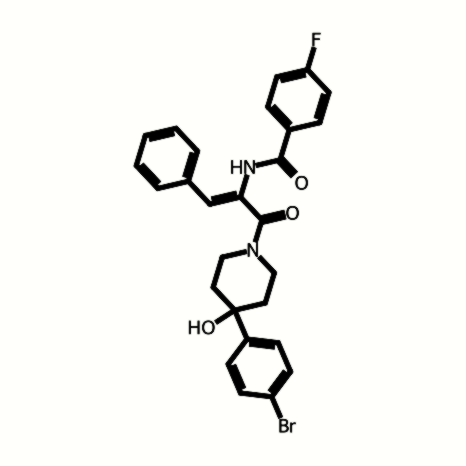 O=C(N/C(=C\c1ccccc1)C(=O)N1CCC(O)(c2ccc(Br)cc2)CC1)c1ccc(F)cc1